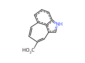 O=C(O)C1=Cc2c[nH]c3cccc(c23)C=C1